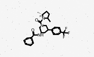 CC1CC[C@@H](C)N1C(=O)N1CC(NC(=O)c2ccccc2)CC(c2ccc(C(F)(F)F)cc2)C1